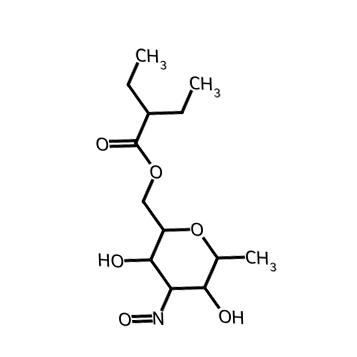 CCC(CC)C(=O)OCC1OC(C)C(O)C(N=O)C1O